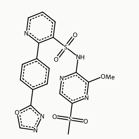 COc1nc(S(C)(=O)=O)cnc1NS(=O)(=O)c1cccnc1-c1ccc(-c2nnco2)cc1